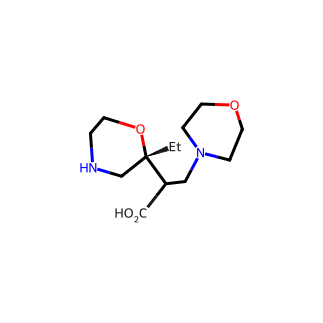 CC[C@@]1(C(CN2CCOCC2)C(=O)O)CNCCO1